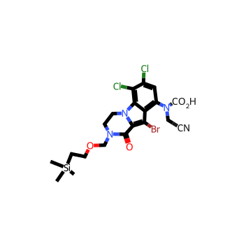 C[Si](C)(C)CCOCN1CCn2c(c(Br)c3c(N(CC#N)C(=O)O)cc(Cl)c(Cl)c32)C1=O